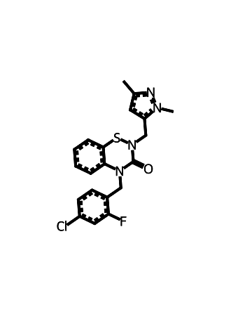 Cc1cc(CN2Sc3ccccc3N(Cc3ccc(Cl)cc3F)C2=O)n(C)n1